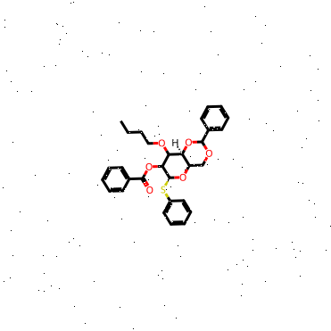 CCCCOC1C(OC(=O)c2ccccc2)[C@H](Sc2ccccc2)OC2COC(c3ccccc3)O[C@@H]21